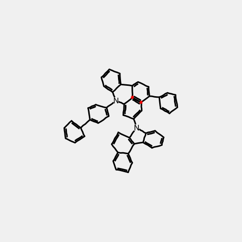 c1ccc(-c2ccc(-c3ccccc3N(c3ccc(-c4ccccc4)cc3)c3cccc(-n4c5ccccc5c5c6ccccc6ccc54)c3)cc2)cc1